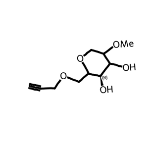 C#CCOCC1OCC(OC)C(O)[C@H]1O